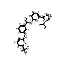 CC(C)n1cnnc1-c1cccc(NC(=O)c2cccc(Oc3cccc(C(F)(F)F)n3)c2)n1